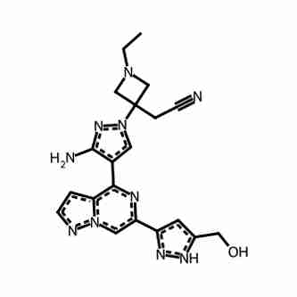 CCN1CC(CC#N)(n2cc(-c3nc(-c4cc(CO)[nH]n4)cn4nccc34)c(N)n2)C1